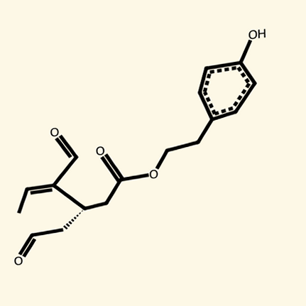 C/C=C(/C=O)[C@@H](CC=O)CC(=O)OCCc1ccc(O)cc1